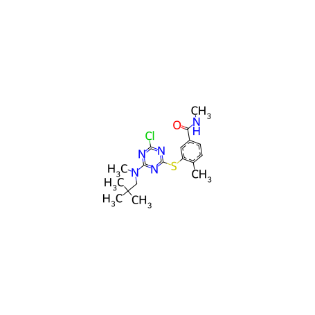 CNC(=O)c1ccc(C)c(Sc2nc(Cl)nc(N(C)CC(C)(C)C)n2)c1